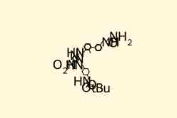 Cc1c(CNc2ncc([N+](=O)[O-])c(NCC3CCC(CNC(=O)OC(C)(C)C)CC3)n2)cccc1-c1cccc(CNCC(N)=O)c1